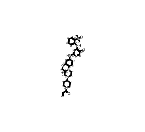 C=CC(=O)N1CCC(N2CCN3c4ccc(Nc5ncc(Cl)c(Nc6ccccc6P(C)(C)=O)n5)cc4OC[C@H]3C2)CC1